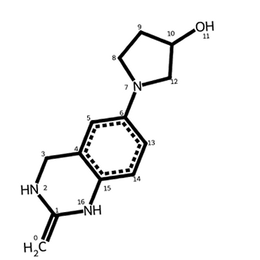 C=C1NCc2cc(N3CCC(O)C3)ccc2N1